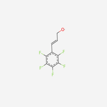 [O]CC=Cc1c(F)c(F)c(F)c(F)c1F